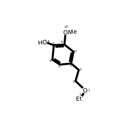 CCOCCc1ccc(O)c(OC)c1